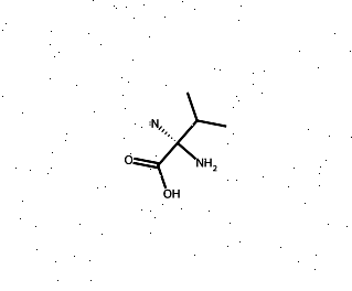 CC(C)[C@@]([N])(N)C(=O)O